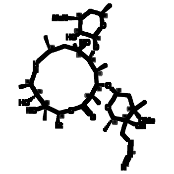 CC[C@H]1OC(=O)[C@H](C)[C@@H](O[C@H]2C[C@@](C)(OC)[C@](O)(CN=[N+]=[N-])[C@H](C)O2)[C@H](C)[C@@H](O[C@@H]2O[C@H](C)C[C@H](NC)[C@H]2O)[C@](C)(O)C[C@@H](C)CN[C@H](C)[C@@H](O)[C@]1(C)O